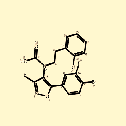 Cc1noc(-c2ccc(Br)c(F)c2)c1N(CCc1ccccc1Cl)C(=O)O